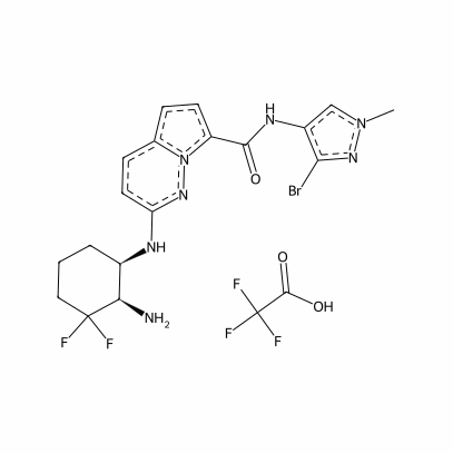 Cn1cc(NC(=O)c2ccc3ccc(N[C@@H]4CCCC(F)(F)[C@@H]4N)nn23)c(Br)n1.O=C(O)C(F)(F)F